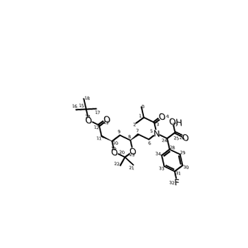 CC(C)C(=O)N(CC[C@@H]1C[C@H](CC(=O)OC(C)(C)C)OC(C)(C)O1)C(C(=O)O)c1ccc(F)cc1